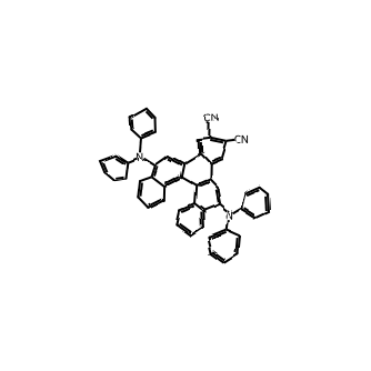 N#Cc1cc2c(cc1C#N)c1cc(N(c3ccccc3)c3ccccc3)c3ccccc3c1c1c3ccccc3c(N(c3ccccc3)c3ccccc3)cc21